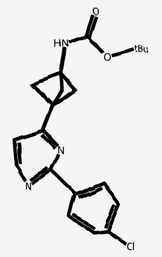 CC(C)(C)OC(=O)NC12CC(c3ccnc(-c4ccc(Cl)cc4)n3)(C1)C2